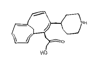 O=C(O)c1c(C2CCNCC2)ccc2ccccc12